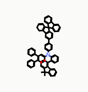 CC1(C)c2ccccc2-c2c(-c3ccccc3N(c3ccc(-c4ccc5c(c4)C4=C(C=CCC4)C54c5ccccc5-c5ccccc54)cc3)c3ccc(-c4ccccc4)c(-c4ccccc4)c3)cccc21